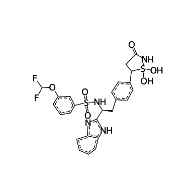 O=C1CC(c2ccc(C[C@H](NS(=O)(=O)c3cccc(OC(F)F)c3)c3nc4ccccc4[nH]3)cc2)S(O)(O)N1